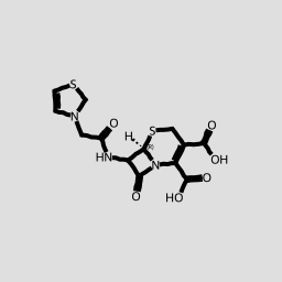 O=C(CN1C=CSC1)NC1C(=O)N2C(C(=O)O)=C(C(=O)O)CS[C@H]12